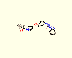 CNC(=O)c1cc(Oc2ccc(NC(=O)Nc3ccccc3)cc2)ccn1